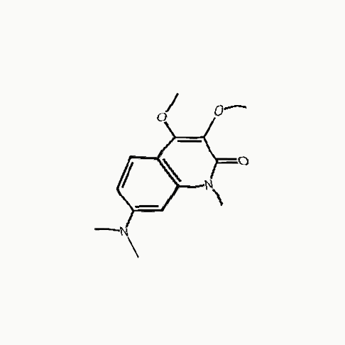 COc1c(OC)c2ccc(N(C)C)cc2n(C)c1=O